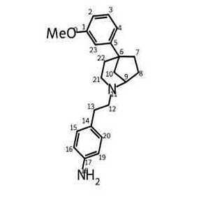 COc1cccc(C23CCC(C2)N(CCc2ccc(N)cc2)CC3)c1